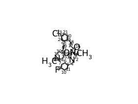 CC1CN(Cc2ccc(F)cc2)CCN1C(=O)C=Cc1ccc(Cl)cc1C#CC1(O)CCN(C)CC1